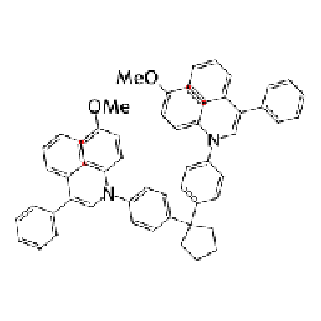 COc1ccc(N(C=C(c2ccccc2)c2ccccc2)c2ccc(C3(c4ccc(N(C=C(c5ccccc5)c5ccccc5)c5ccc(OC)cc5)cc4)CCCC3)cc2)cc1